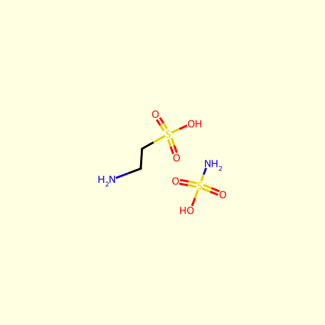 NCCS(=O)(=O)O.NS(=O)(=O)O